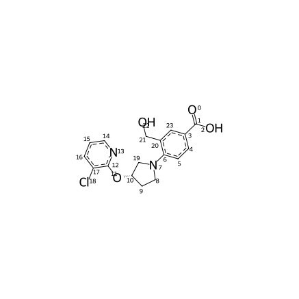 O=C(O)c1ccc(N2CC[C@H](Oc3ncccc3Cl)C2)c(CO)c1